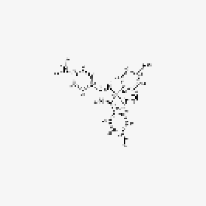 CN(C)c1ccc(C2=NC(OO)(c3ccc(F)cc3)C(c3ccc(F)cc3)=N2)cc1